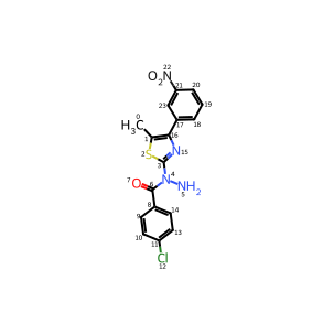 Cc1sc(N(N)C(=O)c2ccc(Cl)cc2)nc1-c1cccc([N+](=O)[O-])c1